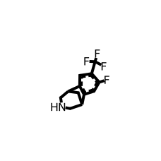 Fc1cc2c(cc1C(F)(F)F)C1CNCC2C1